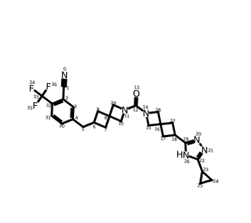 N#Cc1cc(CC2CC3(C2)CN(C(=O)N2CC4(CC(c5nnc(C6CC6)[nH]5)C4)C2)C3)ccc1C(F)(F)F